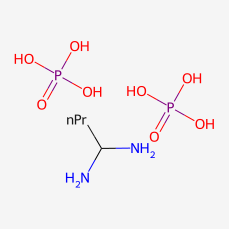 CCCC(N)N.O=P(O)(O)O.O=P(O)(O)O